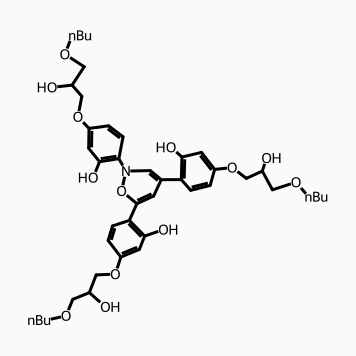 CCCCOCC(O)COc1ccc(C2=CN(c3ccc(OCC(O)COCCCC)cc3O)OC(c3ccc(OCC(O)COCCCC)cc3O)=C2)c(O)c1